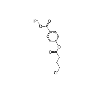 CC(C)OC(=O)c1ccc(OC(=O)CCCCl)cc1